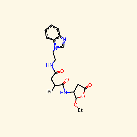 CCOC1OC(=O)CC1NC(=O)C(CC(=O)NCCn1cnc2ccccc21)C(C)C